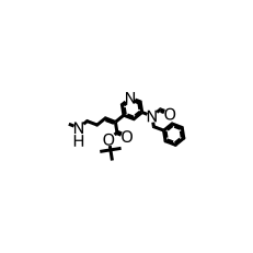 CNCC/C=C(\C(=O)OC(C)(C)C)c1cncc(N(C=O)Cc2ccccc2)c1